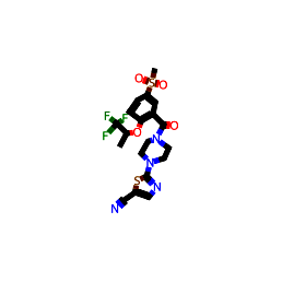 CC(Oc1ccc(S(C)(=O)=O)cc1C(=O)N1CCN(c2ncc(C#N)s2)CC1)C(F)(F)F